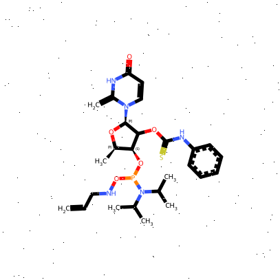 C=CCNOP(O[C@@H]1C(OC(=S)Nc2ccccc2)[C@H](N2C=CC(=O)NC2=C)O[C@@H]1C)N(C(C)C)C(C)C